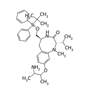 CC(N)C(C)Oc1ccc2c(c1)N(C)[C@@H](C(C)C)C(=O)N[C@H](CO[Si](c1ccccc1)(c1ccccc1)C(C)(C)C)C2